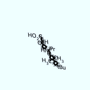 Cc1cc(OCC(Nc2ccc(C(=O)NCCC(=O)O)cc2)C(C)C)cc(C)c1-c1ccc(C(C)(C)C)cc1